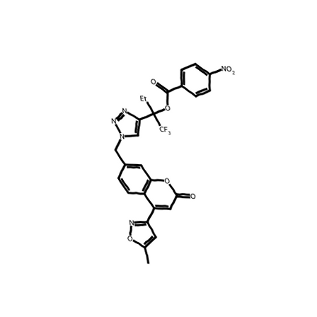 CCC(OC(=O)c1ccc([N+](=O)[O-])cc1)(c1cn(Cc2ccc3c(-c4cc(C)on4)cc(=O)oc3c2)nn1)C(F)(F)F